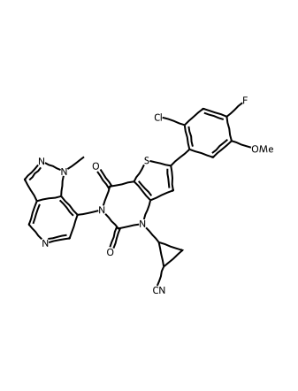 COc1cc(-c2cc3c(s2)c(=O)n(-c2cncc4cnn(C)c24)c(=O)n3C2CC2C#N)c(Cl)cc1F